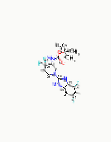 CC(C)(C)OC(=O)N[C@@H]1CN(c2nc3c(F)cc(F)cc3[nH]2)CCC1(F)F